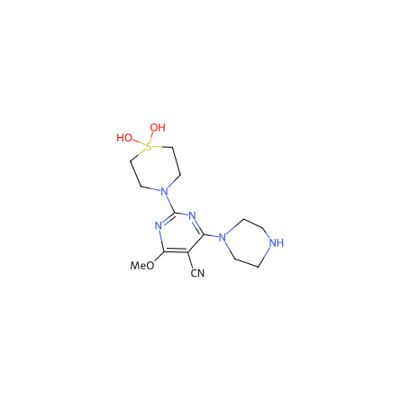 COc1nc(N2CCS(O)(O)CC2)nc(N2CCNCC2)c1C#N